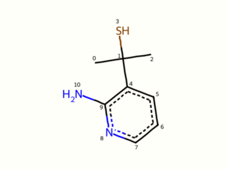 CC(C)(S)c1cccnc1N